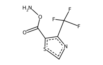 NOC(=O)c1scnc1C(F)(F)F